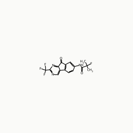 CC(C)(F)C(=O)Nc1ccc2c(c1)C(=O)c1nc(C(F)(F)F)ncc1-2